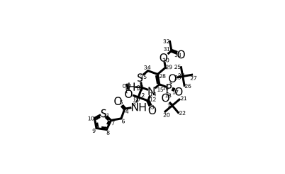 CO[C@@]1(NC(=O)Cc2cccs2)C(=O)N2C(P(=O)(OC(C)(C)C)OC(C)(C)C)=C(COC(C)=O)CS[C@H]21